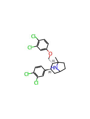 CC12CCC(C[C@@H](c3ccc(Cl)c(Cl)c3)[C@@H]1COc1ccc(Cl)c(Cl)c1)N2